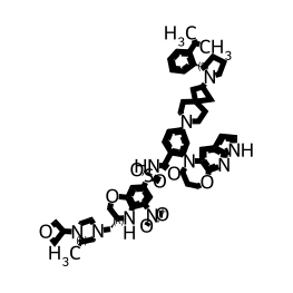 CC(C)c1ccccc1[C@@H]1CCCN1C1CC2(CCN(c3ccc(C(=O)NS(=O)(=O)c4cc5c(c([N+](=O)[O-])c4)N[C@H](CN4CCN(C6COC6)[C@H](C)C4)CO5)c(N4CCCOc5nc6[nH]ccc6cc54)c3)CC2)C1